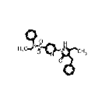 CCc1[nH]n(-c2ccc(S(=O)(=O)N(CC)c3ccccc3)cn2)c(=O)c1Cc1ccccc1